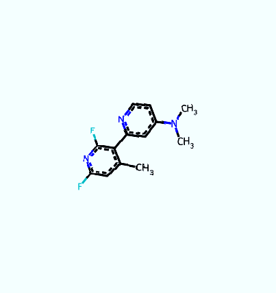 Cc1cc(F)nc(F)c1-c1cc(N(C)C)ccn1